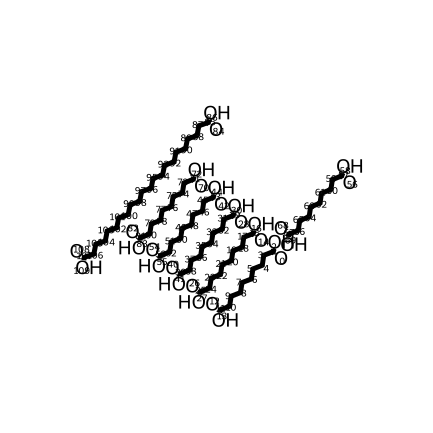 O=C(O)CCCCCCCCC(=O)O.O=C(O)CCCCCCCCC(=O)O.O=C(O)CCCCCCCCC(=O)O.O=C(O)CCCCCCCCC(=O)O.O=C(O)CCCCCCCCC(=O)O.O=C(O)CCCCCCCCC(=O)O.O=C(O)CCCCCCCCCCCCCCCCCCCCC(=O)O